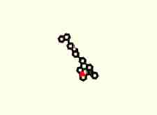 c1ccc(-n2c3ccccc3c3ccc4c5ccc(-c6ccc7c(c6)sc6cc(-c8cccc9ccccc89)ccc67)cc5c5ccccc5c4c32)cc1